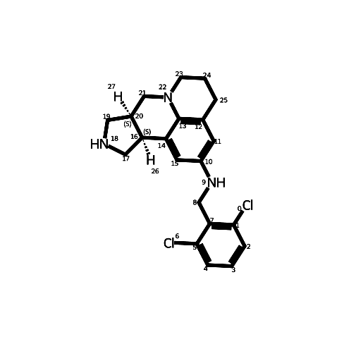 Clc1cccc(Cl)c1CNc1cc2c3c(c1)[C@H]1CNC[C@H]1CN3CCC2